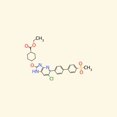 CCOC(=O)[C@H]1CC[C@H](Oc2nc3nc(-c4ccc(-c5ccc(S(C)(=O)=O)cc5)cc4)c(Cl)cc3[nH]2)CC1